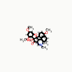 COc1ccc(C23Oc4cc(OC)cc(OC)c4C2(O)C(=O)/C(=C/N(C)C)C3c2ccccc2)cc1